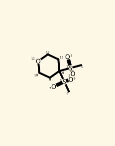 CS(=O)(=O)C1(S(C)(=O)=O)CCOCC1